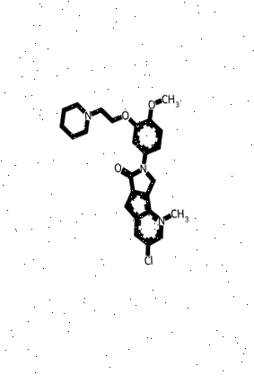 COc1ccc(N2Cc3c(cc4cc(Cl)cn(C)c3-4)C2=O)cc1OCCN1CCCCC1